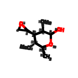 CO[C@@H]1[C@@H](C2CO2)[C@@H](OC)C(O)O[C@H]1C